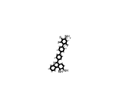 N=C1C=Cc2c(-c3ccc(-c4ccc(-c5c(F)cc(N)c(F)c5F)cc4)cc3)nc3ccccc3c2C1=N